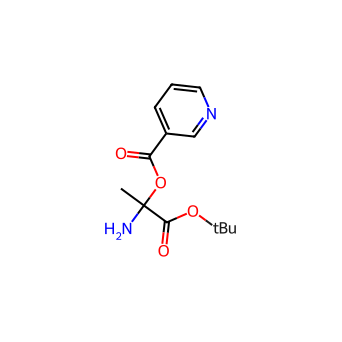 CC(C)(C)OC(=O)C(C)(N)OC(=O)c1cccnc1